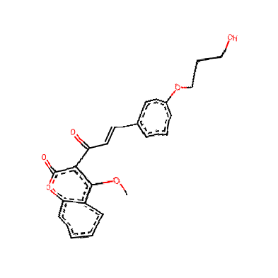 COc1c(C(=O)/C=C/c2cccc(OCCCO)c2)c(=O)oc2ccccc12